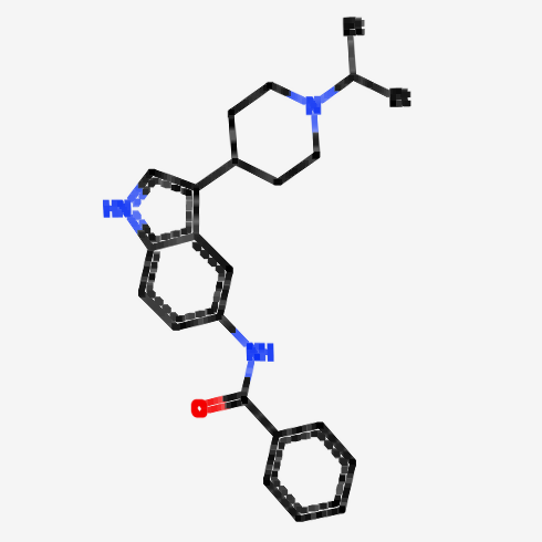 CCC(CC)N1CCC(c2c[nH]c3ccc(NC(=O)c4ccccc4)cc23)CC1